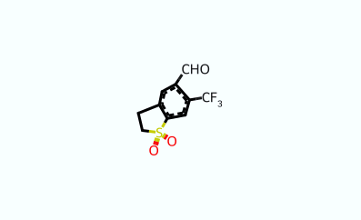 O=Cc1cc2c(cc1C(F)(F)F)S(=O)(=O)CC2